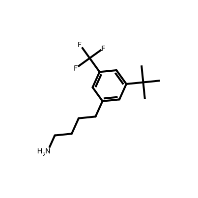 CC(C)(C)c1cc(CCCCN)cc(C(F)(F)F)c1